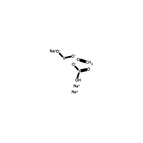 C=O.O=S([O-])O.[Na+].[Na+].[Na+].[O-]S[O-]